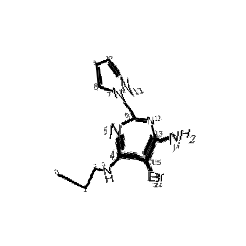 CCCNc1nc(-n2cccn2)nc(N)c1Br